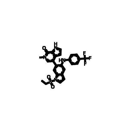 CCS(=O)(=O)n1ccc2cc(Nc3ccc(C(F)(F)F)cc3)c(-c3cn(C)c(=O)c4[nH]ccc34)cc21